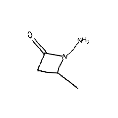 CC1CC(=O)N1N